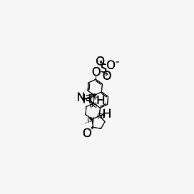 C[C@]12CC[C@H]3C(=CC=C4C=C(OS(=O)(=O)[O-])C=C[C@@H]43)[C@@H]1CCC2=O.[Na+]